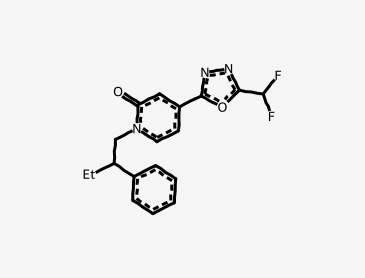 CCC(Cn1ccc(-c2nnc(C(F)F)o2)cc1=O)c1ccccc1